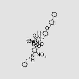 CC(C)(C)OC(=O)NC(Cc1ccc(OCc2ccc(-c3ccccc3)cc2)cc1)C(=O)NS(=O)(=O)c1ccc(NCCCc2ccccc2)c([N+](=O)[O-])c1